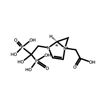 O=C(O)C[N+]12C=CN(CC(O)(P(=O)(O)O)P(=O)(O)O)[C@H]1C2